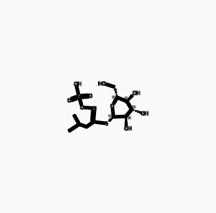 CC(C)CC(=NOS(=O)(=O)O)S[C@@H]1O[C@H](CO)[C@@H](O)[C@H](O)[C@H]1O